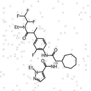 CCN(C(=O)C(C)c1ccc(NC(=O)[C@@H](NC(=O)c2ccnn2CC)C2CCCCCC2)c(F)c1)C(F)C(F)F